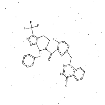 O=C(c1cc(Cc2n[nH]c(=O)c3ccccc23)ccc1F)N1CCn2c(nnc2C(F)(F)F)C1Cc1ccccc1